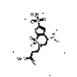 CCN[C@H]1CN(CCC(=O)NC)S(=O)(=O)c2sc(S(N)(=O)=O)cc21